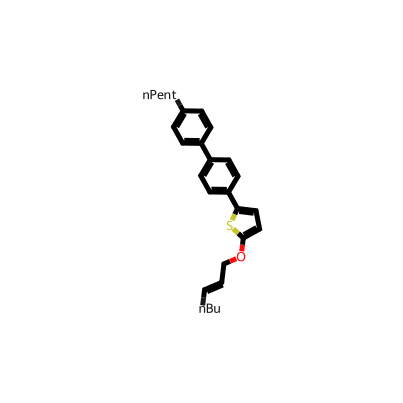 CCCC/C=C/COc1ccc(-c2ccc(-c3ccc(CCCCC)cc3)cc2)s1